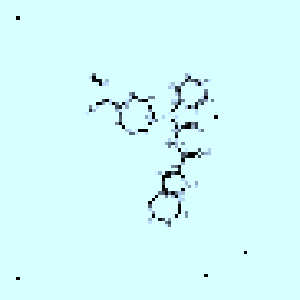 C=CC(=O)N1CCC[C@@H](n2c(NC(=O)c3cc4c(s3)CCCC4)nc3ccccc32)CC1